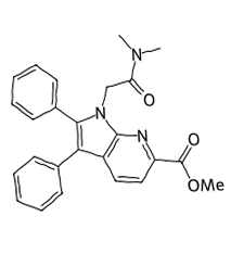 COC(=O)c1ccc2c(-c3ccccc3)c(-c3ccccc3)n(CC(=O)N(C)C)c2n1